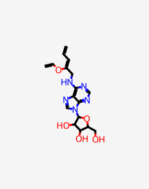 C=C/C=C(/CNc1ncnc2c1ncn2C1OC(CO)C(O)C1O)OC=C